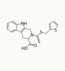 O=C(O)C1Cc2c([nH]c3ccccc23)CN1C(=S)SCc1cccs1